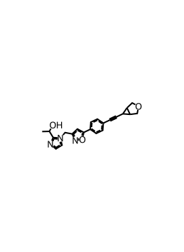 CC(O)c1nccn1Cc1cc(-c2ccc(C#CC3C4COCC34)cc2)on1